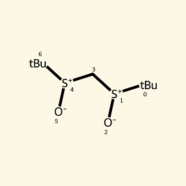 CC(C)(C)[S+]([O-])C[S+]([O-])C(C)(C)C